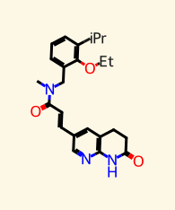 CCOc1c(CN(C)C(=O)C=Cc2cnc3c(c2)CCC(=O)N3)cccc1C(C)C